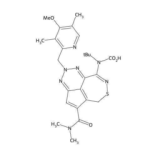 COc1c(C)cnc(Cn2nc3cc(C(=O)N(C)C)c4c-3c(n2)C(N(C(=O)O)C(C)(C)C)=NSC4)c1C